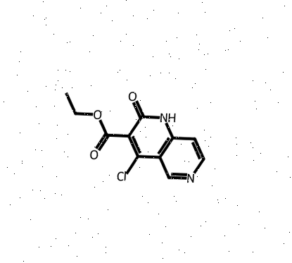 CCOC(=O)c1c(Cl)c2cnccc2[nH]c1=O